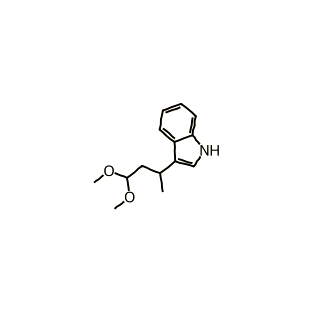 COC(CC(C)c1c[nH]c2ccccc12)OC